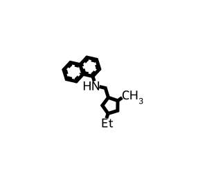 CCC1CC(C)C(CNc2cccc3ccccc23)C1